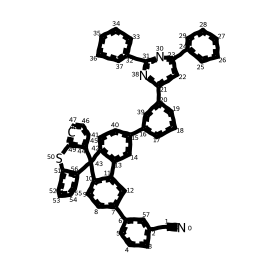 N#Cc1cccc(-c2ccc3c(c2)-c2cc(-c4cccc(-c5cc(-c6ccccc6)nc(-c6ccccc6)n5)c4)ccc2C32c3ccccc3Sc3ccccc32)c1